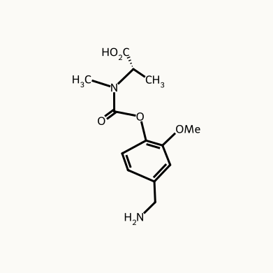 COc1cc(CN)ccc1OC(=O)N(C)[C@@H](C)C(=O)O